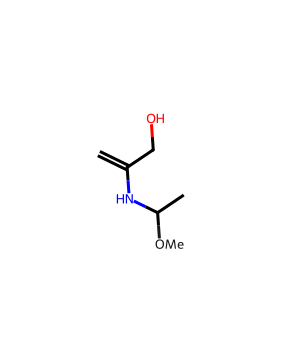 C=C(CO)NC(C)OC